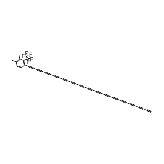 C#CC#CC#CC#CC#CC#CC#CC#CC#CC#CC#CC#CC#CC#CC#Cc1ccc(C)c(C)c1S(F)(F)(F)(F)F